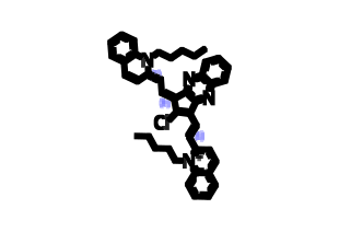 CCCCCN1/C(=C/C=C2C(Cl)=C(/C=C/c3ccc4ccccc4[n+]3CCCCC)c3nc4ccccc4nc3/2)C=Cc2ccccc21